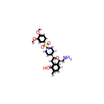 COC1=CCC(S(=O)(=O)N2CCC([C@@H]3Cc4c(ccc(C)c4O)[C@H](CN)O3)CC2)C=C1OC